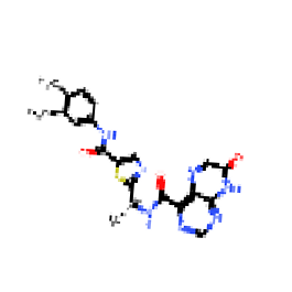 Cc1ccc(NC(=O)c2cnc([C@@H](C)NC(=O)c3ncnc4[nH]c(=O)cnc34)s2)cc1C